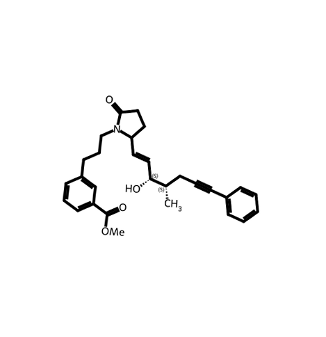 COC(=O)c1cccc(CCCN2C(=O)CCC2C=C[C@@H](O)[C@@H](C)CC#Cc2ccccc2)c1